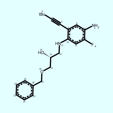 CC(C)(C)C#Cc1cc(N)c(F)cc1NC[C@@H](O)COCc1ccccc1